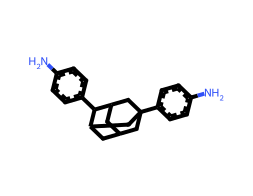 Nc1ccc(C2C3CC4CC2CC(c2ccc(N)cc2)(C4)C3)cc1